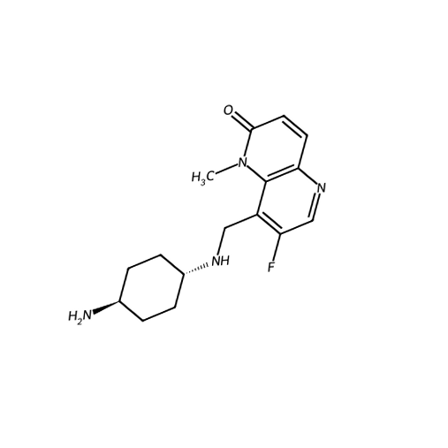 Cn1c(=O)ccc2ncc(F)c(CN[C@H]3CC[C@H](N)CC3)c21